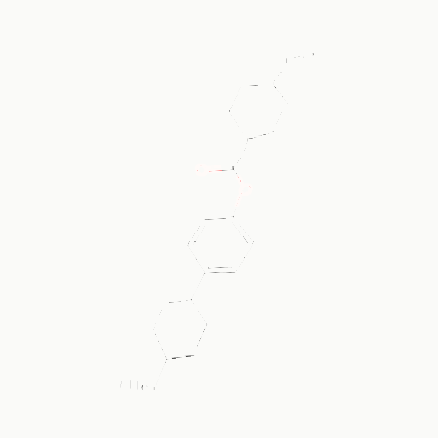 CCCCCCC1CCC(C(=O)Oc2ccc(C3CCC(CCCCCC)CC3)cc2)CC1